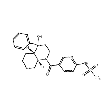 CS(=O)(=O)Nc1ccc(C(=O)N2CC[C@](O)(c3ccccc3)[C@H]3CCCC[C@H]32)cn1